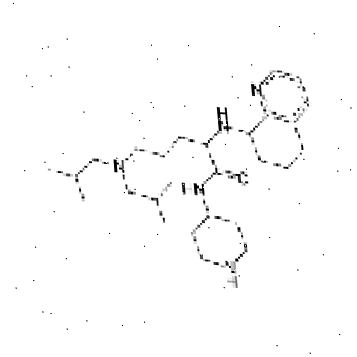 CC(C)CN(CCCC(NC1CCCc2cccnc21)C(=O)NC1CCNCC1)CC(C)C